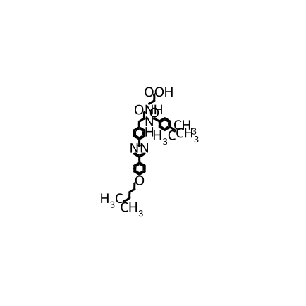 CC(C)CCCCOc1ccc(-c2cnc(-c3ccc(CC(NC(=O)c4ccc(C(C)(C)C)cc4)C(=O)NCCC(=O)O)cc3)nc2)cc1